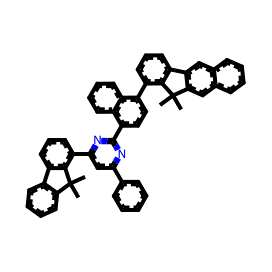 CC1(C)c2ccccc2-c2cccc(-c3cc(-c4ccccc4)nc(-c4ccc(-c5cccc6c5C(C)(C)c5cc7ccccc7cc5-6)c5ccccc45)n3)c21